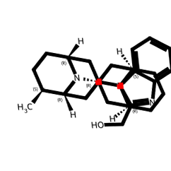 C[C@H]1CC[C@@H]2CC(n3c(CO)nc4ccccc43)C[C@H]1N2[C@H]1C[C@@H]2CCC[C@@H](C2)C1